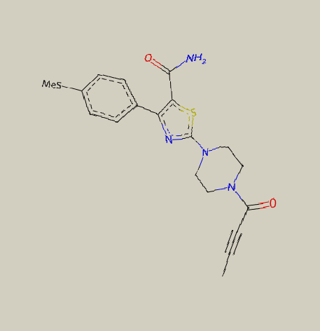 CC#CC(=O)N1CCN(c2nc(-c3ccc(SC)cc3)c(C(N)=O)s2)CC1